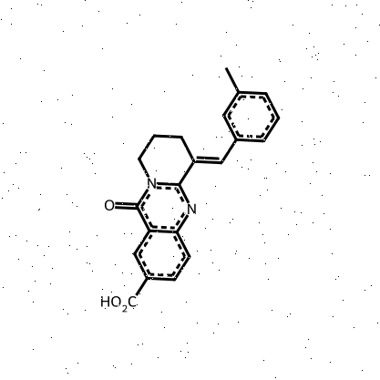 Cc1cccc(C=C2CCCn3c2nc2ccc(C(=O)O)cc2c3=O)c1